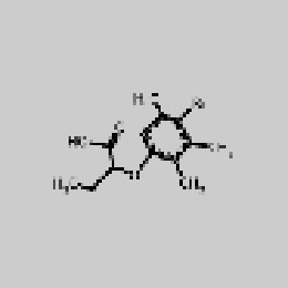 CCC(Oc1cc(C)c(Br)c(C)c1C)C(=O)O